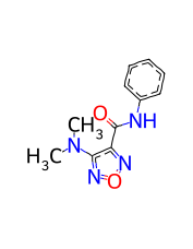 CN(C)c1nonc1C(=O)Nc1ccccc1